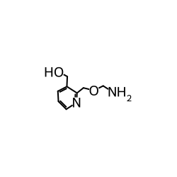 NCOCc1ncccc1CO